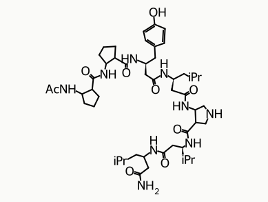 CC(=O)NC1CCCC1C(=O)NC1CCCC1C(=O)N[C@H](CC(=O)N[C@H](CC(=O)NC1CNCC1C(=O)N[C@H](CC(=O)NC(CC(N)=O)CC(C)C)C(C)C)CC(C)C)Cc1ccc(O)cc1